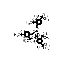 CC(C)(C)c1ccc(COP(OCc2ccc(C(C)(C)C)cc2C(C)(C)C)OCc2ccc(C(C)(C)C)cc2C(C)(C)C)c(C(C)(C)C)c1